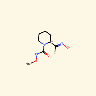 CCCCONC(=O)N1CCCC[C@H]1/C(Cl)=N/O